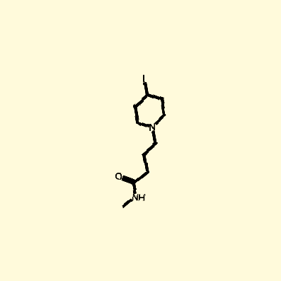 CNC(=O)CCCN1CCC(I)CC1